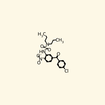 CCCN(CCC)S(=O)(=O)Nc1cc(C(=O)c2ccc(Cl)cc2)ccc1[N+](=O)[O-]